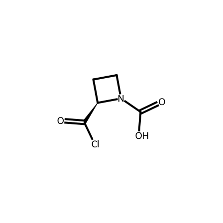 O=C(Cl)[C@H]1CCN1C(=O)O